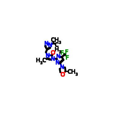 Cc1cn(-c2nc(N3CCO[C@H](C)C3)cc(C(F)(F)F)n2)c(=O)n1Cc1cnn(C(C)C)c1